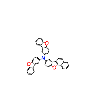 c1ccc2c(c1)ccc1c3cc(N(c4ccc5oc6ccccc6c5c4)c4ccc5oc6ccccc6c5c4)ccc3oc21